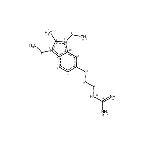 CCn1c(C)[n+](CC)c2ccc(CCCNC(=N)N)cc21